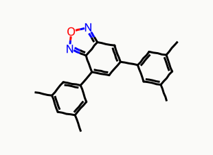 Cc1cc(C)cc(-c2cc(-c3cc(C)cc(C)c3)c3nonc3c2)c1